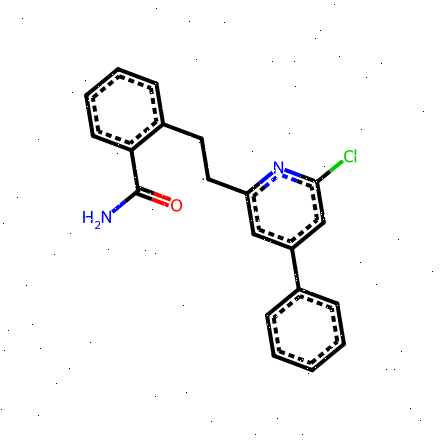 NC(=O)c1ccccc1C[CH]c1cc(-c2ccccc2)cc(Cl)n1